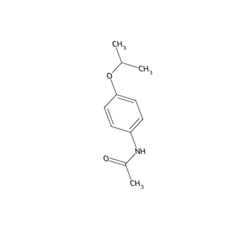 CC(=O)Nc1ccc(OC(C)C)cc1